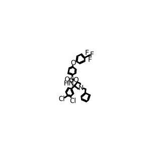 O=S(=O)(N[C@]1(c2ccc(Cl)c(Cl)c2)CCN(Cc2ccccc2)C1)c1ccc(Oc2ccc(C(F)(F)F)cc2)cc1